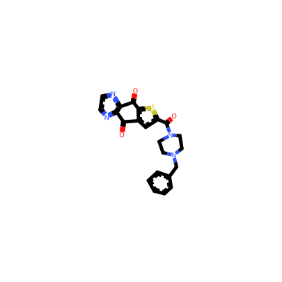 O=C1c2cc(C(=O)N3CCN(Cc4ccccc4)CC3)sc2C(=O)c2nccnc21